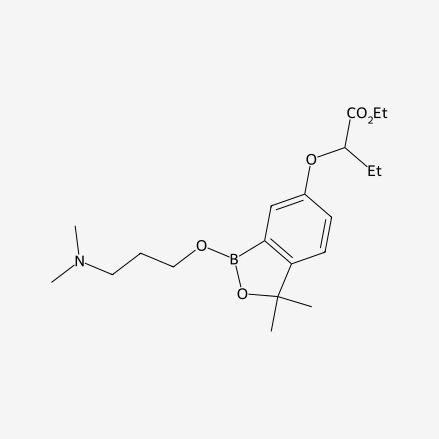 CCOC(=O)C(CC)Oc1ccc2c(c1)B(OCCCN(C)C)OC2(C)C